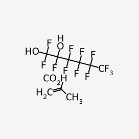 C=C(C)C(=O)O.OC(F)(F)C(O)(F)C(F)(F)C(F)(F)C(F)(F)C(F)(F)F